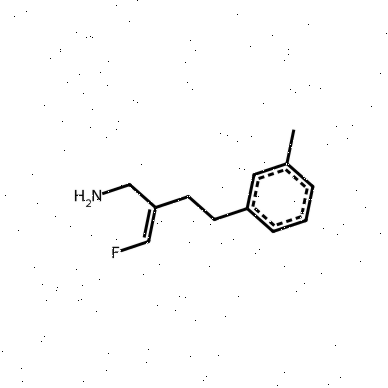 Cc1cccc(CCC(=CF)CN)c1